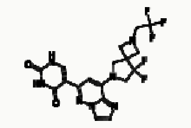 O=c1[nH]cc(-c2cc(N3CC(F)(F)C4(CN(CC(F)(F)F)C4)C3)c3nccn3n2)c(=O)[nH]1